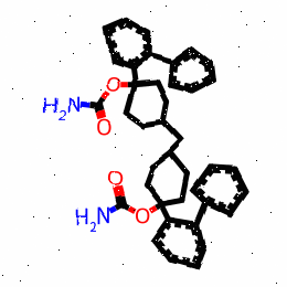 NC(=O)OC1(c2ccccc2-c2ccccc2)CCC(CC2CCC(OC(N)=O)(c3ccccc3-c3ccccc3)CC2)CC1